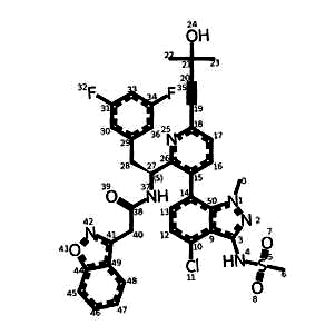 Cn1nc(NS(C)(=O)=O)c2c(Cl)ccc(-c3ccc(C#CC(C)(C)O)nc3[C@H](Cc3cc(F)cc(F)c3)NC(=O)Cc3noc4ccccc34)c21